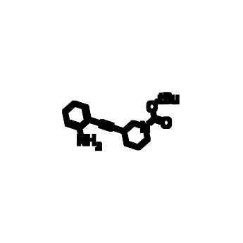 CC(C)(C)OC(=O)N1CCCC(C#CC2=CCCC=C2N)C1